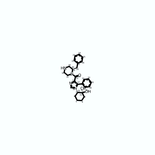 C[C@]1(O)CCCC[C@@H]1n1cnc(C(=O)N2CCNC[C@H]2Cc2ccccc2)c1-c1ccccc1